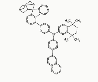 CC1(C)CCC(C)(C)c2cc(N(c3ccc(-c4ccc5ccccc5c4)cc3)c3ccc(-c4cccc5c4-c4ccccc4C54C5CC6CC(C5)C4C6)cc3)ccc21